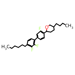 CCCCCCc1ccc(-c2ccc(C3CCC(CCCC)CO3)c(F)c2)c(F)c1F